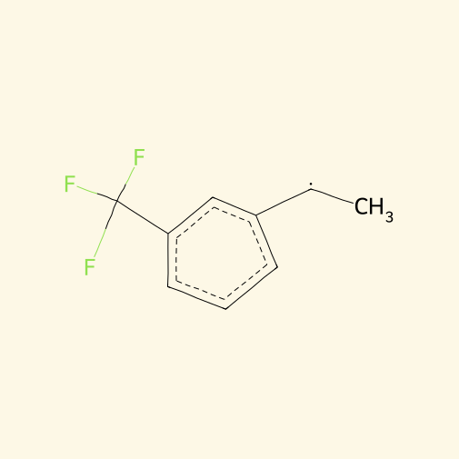 C[CH]c1cccc(C(F)(F)F)c1